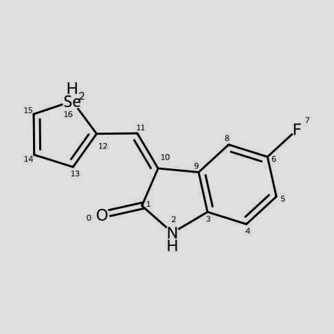 O=C1Nc2ccc(F)cc2/C1=C/C1=CC=C[SeH2]1